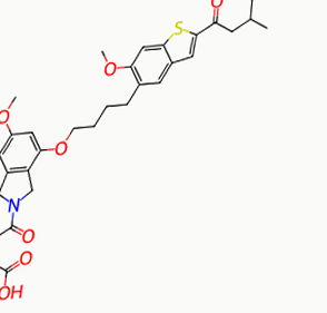 COc1cc2c(c(OCCCCc3cc4cc(C(=O)CC(C)C(=O)O)sc4cc3OC)c1)CN(C(=O)CC(C)C(=O)O)C2